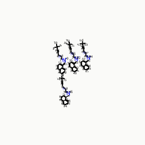 CN(C/C=C/C#CC(C)(C)C)Cc1cccc2ccccc12.CN(C/C=C/C#CC(C)(C)C)Cc1cccc2ccccc12.CN(C/C=C/C#CC(C)(C)C)Cc1cccc2ccccc12.CN(C/C=C/C#CC(C)(C)C)Cc1cccc2ccccc12